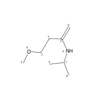 C=C(CCOC)NC(C)C